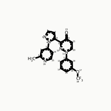 Cc1cc(-n2nccc2-c2nn(-c3cccc(OC(F)(F)F)c3)ccc2=O)ccn1